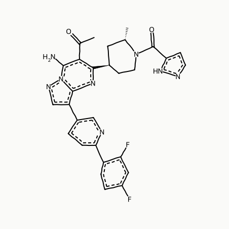 CC(=O)c1c([C@@H]2CCN(C(=O)c3ccn[nH]3)[C@@H](C)C2)nc2c(-c3ccc(-c4ccc(F)cc4F)nc3)cnn2c1N